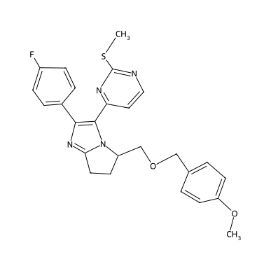 COc1ccc(COCC2CCc3nc(-c4ccc(F)cc4)c(-c4ccnc(SC)n4)n32)cc1